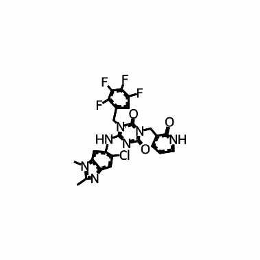 Cc1nc2cc(Cl)c(Nc3nc(=O)n(Cc4ccc[nH]c4=O)c(=O)n3Cc3cc(F)c(F)c(F)c3F)cc2n1C